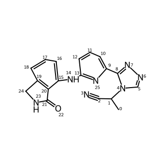 CC(C#N)n1cnnc1-c1cccc(Nc2cccc3c2C(=O)NC3)n1